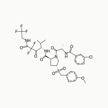 COc1ccc(CS(=O)(=O)[C@@H]2C[C@@H](C(=O)N[C@H](C(=O)C(F)(F)C(=O)NCC(F)(F)F)C(C)C)N(C(=O)[C@H](C)NC(=O)c3cccc(Cl)c3)C2)cc1